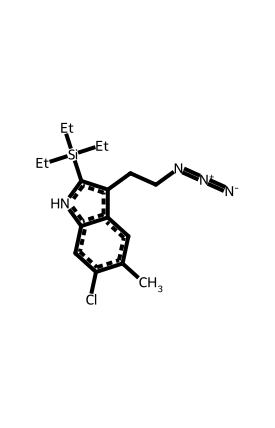 CC[Si](CC)(CC)c1[nH]c2cc(Cl)c(C)cc2c1CCN=[N+]=[N-]